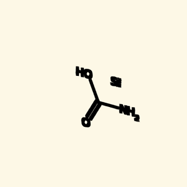 NC(=O)O.[Si]